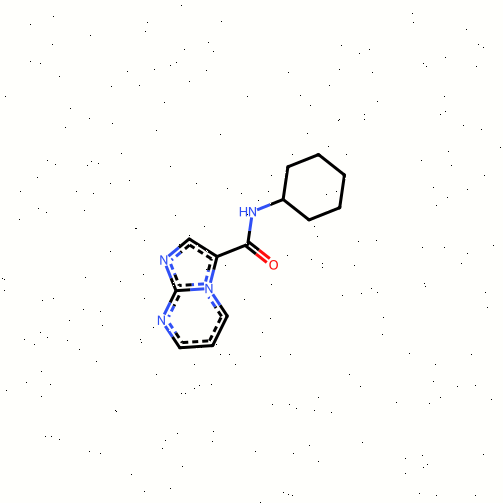 O=C(NC1CCCCC1)c1cnc2ncccn12